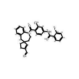 O=CC1=CC2(CC1)CCN(C(=O)c1ccc(NC(=O)c3ccccc3F)cc1Cl)c1ccccc1C2